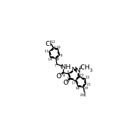 Cn1nc(C(=O)NCc2ccc(Cl)cc2)c(=O)c2cc(I)ccc21